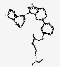 CN(C)C/C=C/C(=O)Nc1cc(-c2cnc3[nH]cc(-c4ccnc5[nH]ccc45)c3c2)ccn1